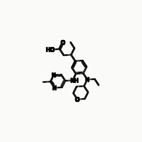 CCC(CC(=O)O)c1ccc(N(CC)C2CCOCC2)c(Nc2cnc(C)nc2)c1